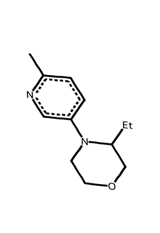 CCC1COCCN1c1ccc(C)nc1